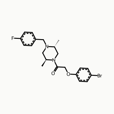 C[C@@H]1CN(C(=O)COc2ccc(Br)cc2)[C@@H](C)CN1Cc1ccc(F)cc1